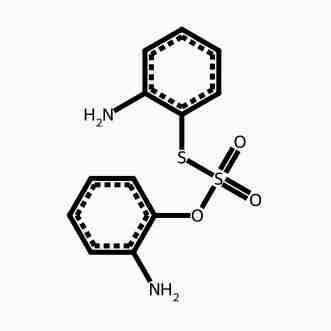 Nc1ccccc1OS(=O)(=O)Sc1ccccc1N